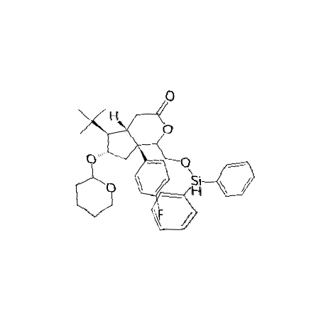 CC(C)(C)[C@@H]1[C@@H](OC2CCCCO2)C[C@@]2(c3ccc(F)cc3)C(CO[SiH](c3ccccc3)c3ccccc3)OC(=O)C[C@@H]12